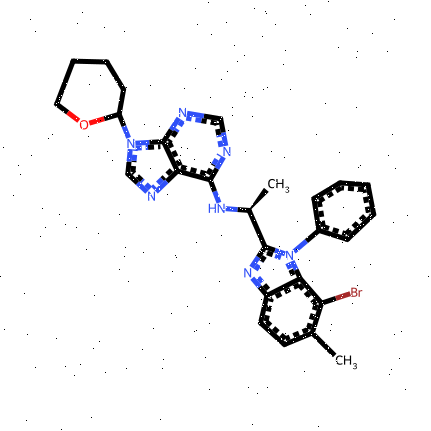 Cc1ccc2nc([C@H](C)Nc3ncnc4c3ncn4C3CCCCO3)n(-c3ccccc3)c2c1Br